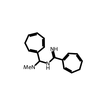 CNC(NC(=N)C1=CC=CCC=C1)C1=CCC=CC=C1